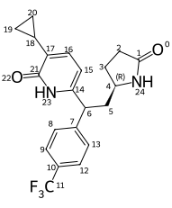 O=C1CC[C@H](CC(c2ccc(C(F)(F)F)cc2)c2ccc(C3CC3)c(=O)[nH]2)N1